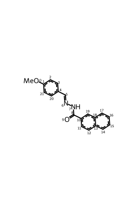 COc1ccc(C=NNC(=O)c2ccc3ccccc3c2)cc1